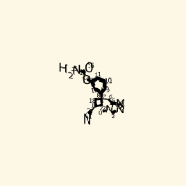 Cn1cnnc1C[C@]1(c2cccc(OC(N)=O)c2)C[C@H](C#N)C1